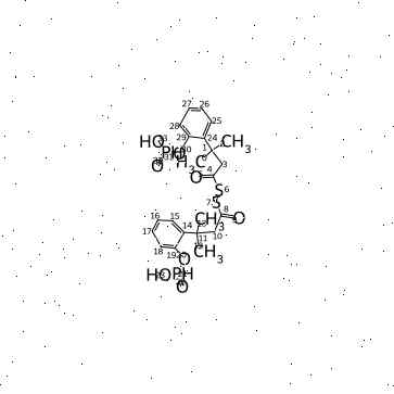 CC(C)(CC(=O)SSC(=O)CC(C)(C)c1ccccc1O[PH](=O)O)c1ccccc1O[PH](=O)O